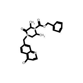 CC1CN(Cc2ccc3c(Cl)ccnc3c2)C(=O)C(C)N1C(=O)OCc1ccccc1